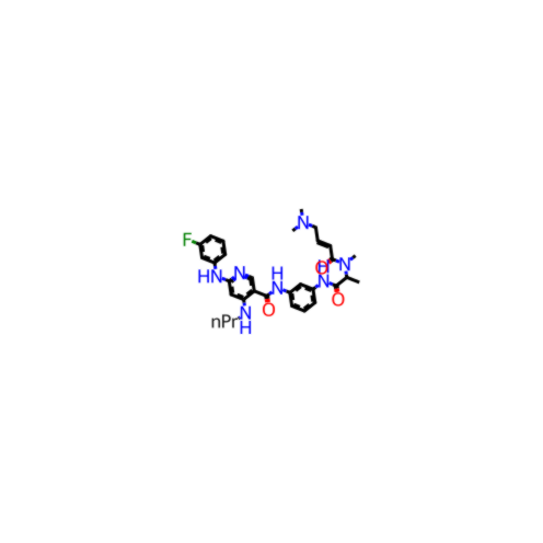 CCCNc1cc(Nc2cccc(F)c2)ncc1C(=O)Nc1cccc(NC(=O)C(C)N(C)C(=O)C=CCN(C)C)c1